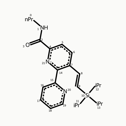 CCCNC(=O)c1ccc(/C=C/[Si](C(C)C)(C(C)C)C(C)C)c(-c2ccccn2)n1